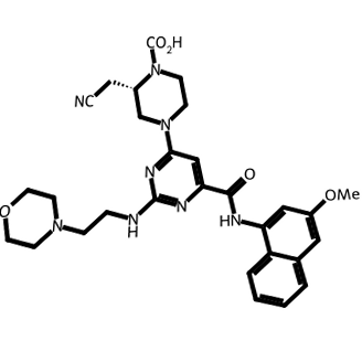 COc1cc(NC(=O)c2cc(N3CCN(C(=O)O)[C@@H](CC#N)C3)nc(NCCN3CCOCC3)n2)c2ccccc2c1